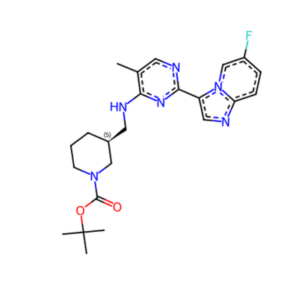 Cc1cnc(-c2cnc3ccc(F)cn23)nc1NC[C@@H]1CCCN(C(=O)OC(C)(C)C)C1